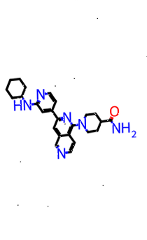 NC(=O)C1CCN(c2nc(-c3ccnc(NC4CCCCC4)c3)cc3cnccc23)CC1